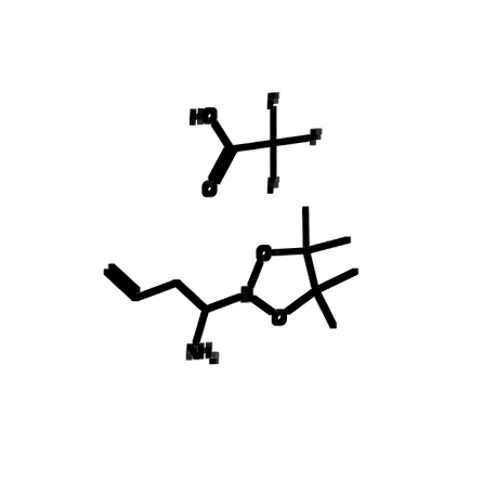 C=CCC(N)B1OC(C)(C)C(C)(C)O1.O=C(O)C(F)(F)F